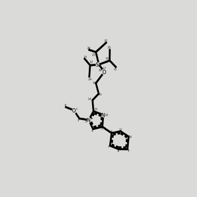 COCn1cc(-c2ccccc2)nc1CCCO[Si](C(C)C)(C(C)C)C(C)C